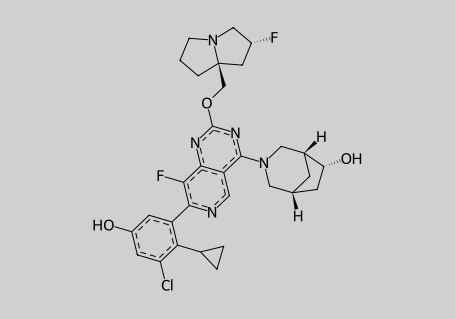 Oc1cc(Cl)c(C2CC2)c(-c2ncc3c(N4C[C@@H]5C[C@H](C4)[C@H](O)C5)nc(OC[C@@]45CCCN4C[C@H](F)C5)nc3c2F)c1